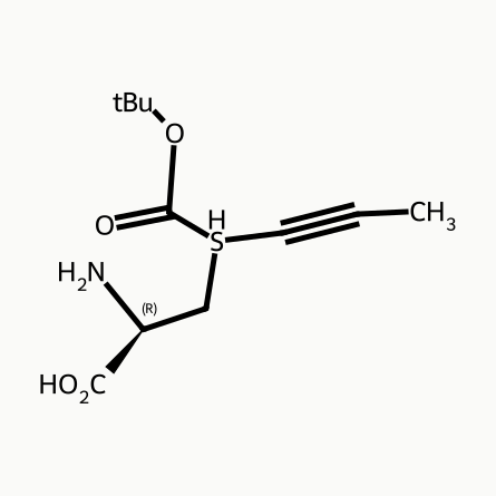 CC#C[SH](C[C@H](N)C(=O)O)C(=O)OC(C)(C)C